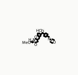 COCCOC(=O)CC1Cc2cc(C(=O)c3ccc(C=NN4CCOCC4)cc3)ccc2OC1N.Cl